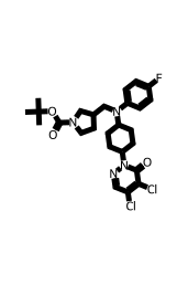 CC(C)(C)OC(=O)N1CCC(CN(c2ccc(F)cc2)C2CCC(n3ncc(Cl)c(Cl)c3=O)CC2)C1